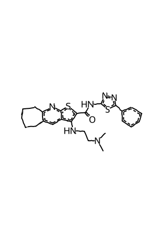 CN(C)CCNc1c(C(=O)Nc2nnc(-c3ccccc3)s2)sc2nc3c(cc12)CCCCC3